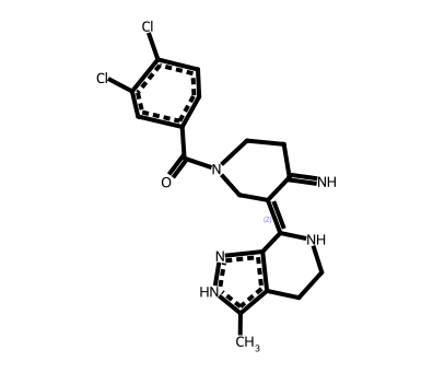 Cc1[nH]nc2c1CCN/C2=C1/CN(C(=O)c2ccc(Cl)c(Cl)c2)CCC1=N